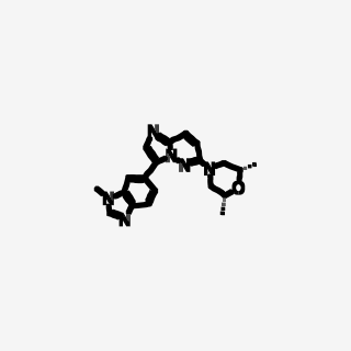 C[C@@H]1CN(c2ccc3ncc(-c4ccc5ncn(C)c5c4)n3n2)C[C@H](C)O1